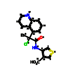 CCC(Cl)(C(=O)Nc1cscc1C(=O)O)c1cccc2ncccc12